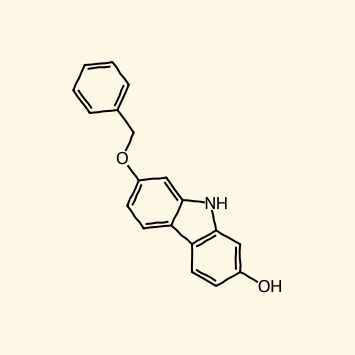 Oc1ccc2c(c1)[nH]c1cc(OCc3ccccc3)ccc12